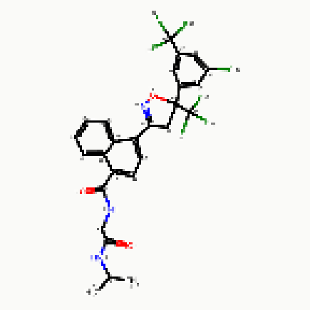 CC(C)NC(=O)CNC(=O)c1ccc(C2=NOC(c3cc(Cl)cc(C(F)(F)F)c3)(C(F)(F)F)C2)c2ccccc12